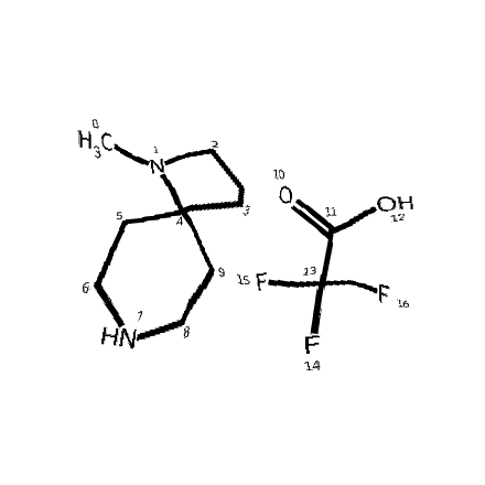 CN1CCC12CCNCC2.O=C(O)C(F)(F)F